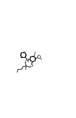 CCCCC1(C)CSc2cc(OC)c(I)cc2N(c2ccccc2)C1